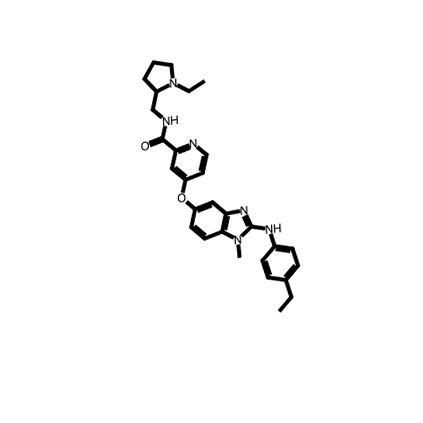 CCc1ccc(Nc2nc3cc(Oc4ccnc(C(=O)NCC5CCCN5CC)c4)ccc3n2C)cc1